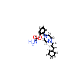 NC(=O)Oc1ccccc1N1CCN(C[CH]CC2CCCCC2)CC1